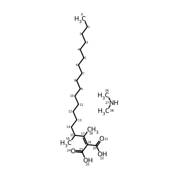 CCCCCCCCCCCCCCCC(C)C(C)=C(C(=O)O)C(=O)O.CNC